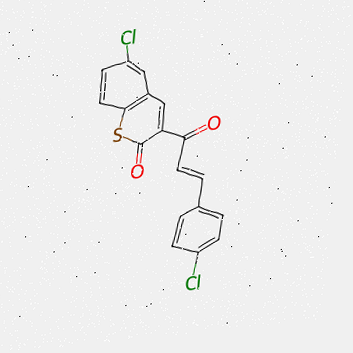 O=C(/C=C/c1ccc(Cl)cc1)c1cc2cc(Cl)ccc2sc1=O